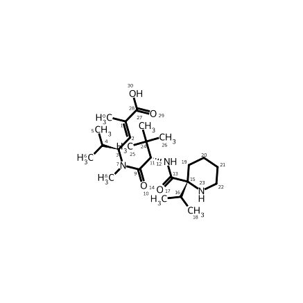 C/C(=C\[C@H](C(C)C)N(C)C(=O)[C@@H](NC(=O)[C@]1(C(C)C)CCCCN1)C(C)(C)C)C(=O)O